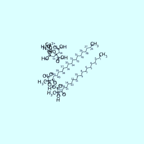 CCCCCCCCCCCCCCCCCC(=O)C(C)(O)C(=O)[O-].CCCCCCCCCCCCCCCCCC(=O)C(C)(O)C(=O)[O-].O.O.O=C(O)CC(O)(CC(=O)O)C(=O)O.[Ca+2]